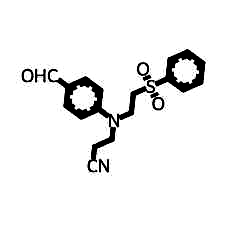 N#CCCN(CCS(=O)(=O)c1ccccc1)c1ccc(C=O)cc1